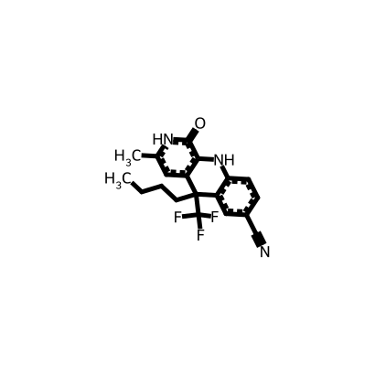 CCCCC1(C(F)(F)F)c2cc(C#N)ccc2Nc2c1cc(C)[nH]c2=O